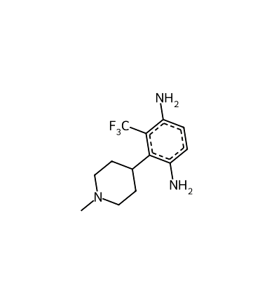 CN1CCC(c2c(N)ccc(N)c2C(F)(F)F)CC1